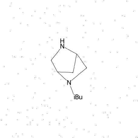 CCC(C)N1CC2CC1CN2